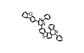 c1ccc(-c2nc(-c3ccc4c(c3)oc3ccccc34)cc(-c3ccc4sc5ccc6c(-c7ccccc7)nc7ccccc7c6c5c4c3)n2)cc1